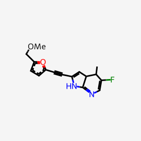 COCc1ccc(C#CC2=CC3C(=NC=C(F)C3C)N2)o1